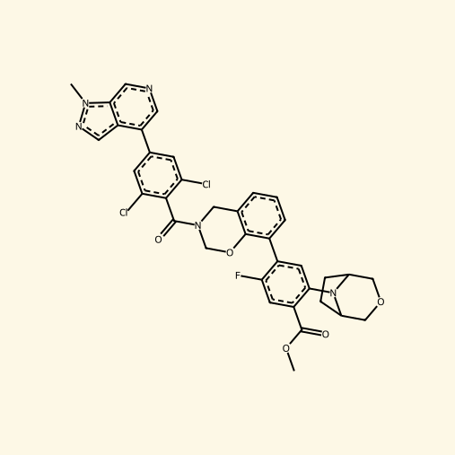 COC(=O)c1cc(F)c(-c2cccc3c2OCN(C(=O)c2c(Cl)cc(-c4cncc5c4cnn5C)cc2Cl)C3)cc1N1C2CCC1COC2